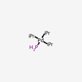 C[CH](C)[Pd]([PH2])([CH](C)C)[CH](C)C